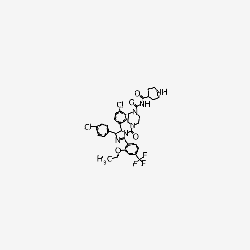 CCOc1cc(C(F)(F)F)ccc1C1=NC(c2ccc(Cl)cc2)C(c2ccc(Cl)cc2)N1C(=O)N1CCN(C(=O)NC(=O)C2CCNCC2)CC1